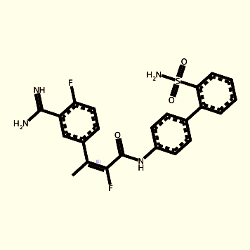 C/C(=C(\F)C(=O)Nc1ccc(-c2ccccc2S(N)(=O)=O)cc1)c1ccc(F)c(C(=N)N)c1